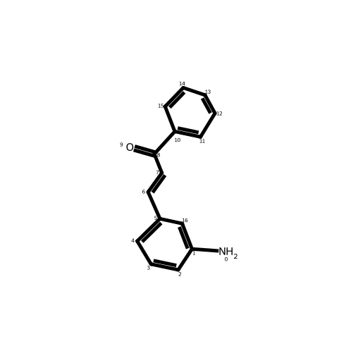 Nc1cccc(C=CC(=O)c2ccccc2)c1